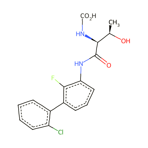 C[C@@H](O)[C@H](NC(=O)O)C(=O)Nc1cccc(-c2ccccc2Cl)c1F